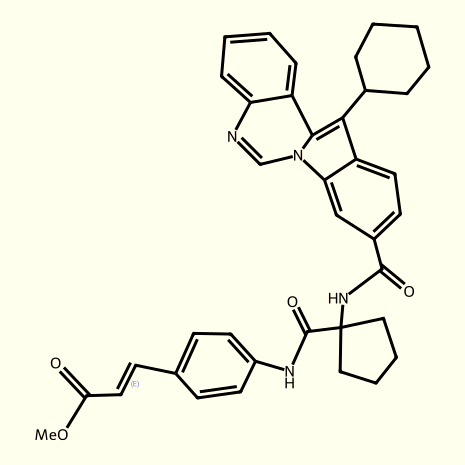 COC(=O)/C=C/c1ccc(NC(=O)C2(NC(=O)c3ccc4c(C5CCCCC5)c5c6ccccc6ncn5c4c3)CCCC2)cc1